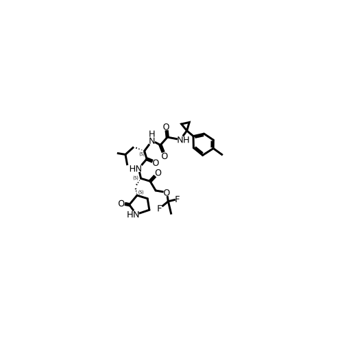 Cc1ccc(C2(NC(=O)C(=O)N[C@@H](CC(C)C)C(=O)N[C@@H](C[C@@H]3CCNC3=O)C(=O)COC(C)(F)F)CC2)cc1